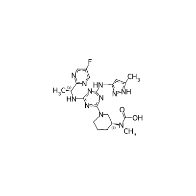 Cc1cc(Nc2nc(N[C@@H](C)c3ncc(F)cn3)nc(N3CCC[C@H](N(C)C(=O)O)C3)n2)n[nH]1